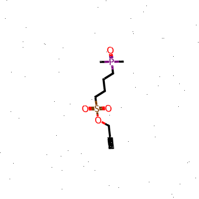 C#CCOS(=O)(=O)CCCCP(C)(C)=O